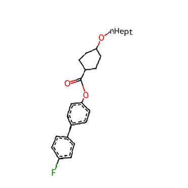 CCCCCCCOC1CCC(C(=O)Oc2ccc(-c3ccc(F)cc3)cc2)CC1